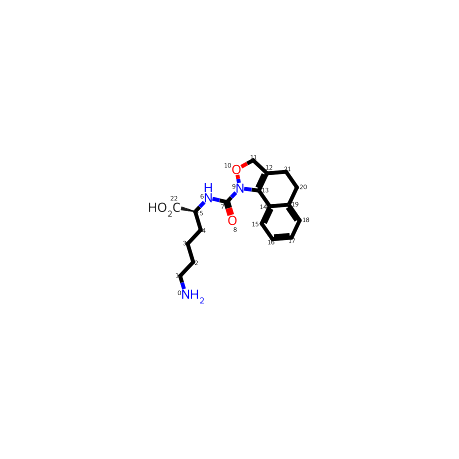 NCCCC[C@H](NC(=O)N1OCC2=C1c1ccccc1CC2)C(=O)O